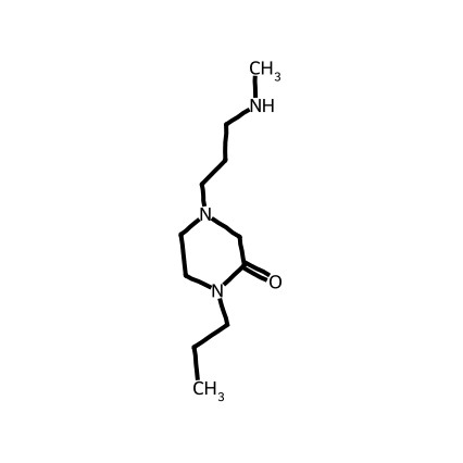 CCCN1CCN(CCCNC)CC1=O